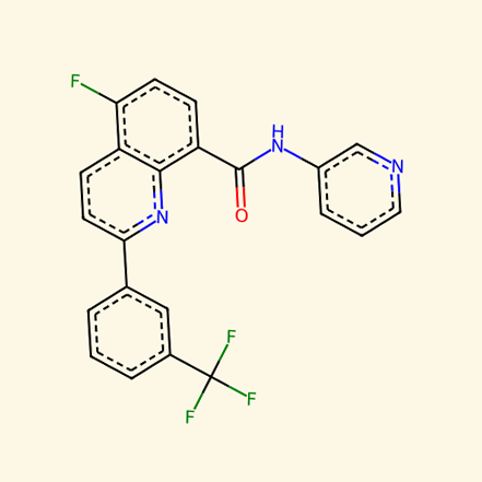 O=C(Nc1cccnc1)c1ccc(F)c2ccc(-c3cccc(C(F)(F)F)c3)nc12